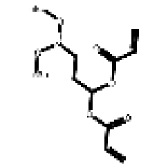 C=CC(=O)OC(CC[SiH](OCCCC)OCCCC)OC(=O)C=C